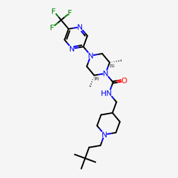 C[C@@H]1CN(c2cnc(C(F)(F)F)cn2)C[C@H](C)N1C(=O)NCC1CCN(CCC(C)(C)C)CC1